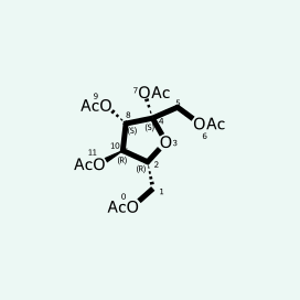 CC(=O)OC[C@H]1O[C@@](COC(C)=O)(OC(C)=O)[C@@H](OC(C)=O)[C@@H]1OC(C)=O